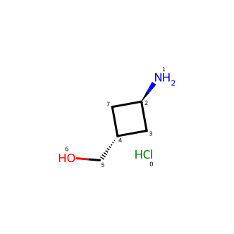 Cl.N[C@H]1C[C@H](CO)C1